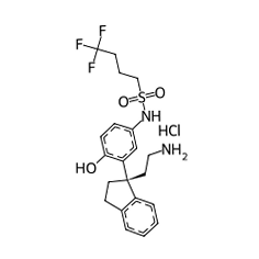 Cl.NCC[C@]1(c2cc(NS(=O)(=O)CCCC(F)(F)F)ccc2O)CCc2ccccc21